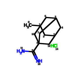 CC12CC3CC(C1)CC(C(=N)N)(C3)C2.Cl